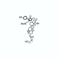 CNCCn1c([C@@]23CC[C@]4(C)[C@H](CC[C@@H]5[C@@]6(C)CC[C@H](OC(=O)CC(C)(C)C(=O)O)C(C)(C)[C@@H]6CC[C@]54C)C2=C(C(C)C)C(=O)C3)c(Cl)c(=O)n1-c1ccc(C#N)cc1